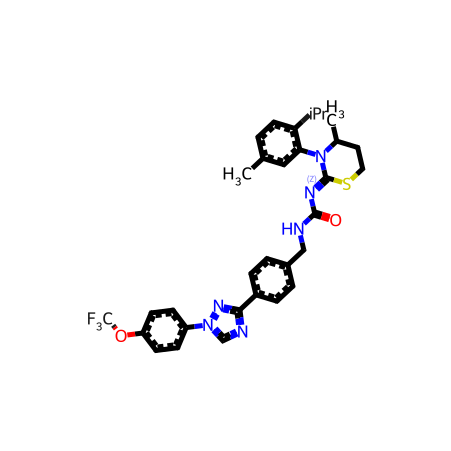 Cc1ccc(C(C)C)c(N2/C(=N/C(=O)NCc3ccc(-c4ncn(-c5ccc(OC(F)(F)F)cc5)n4)cc3)SCCC2C)c1